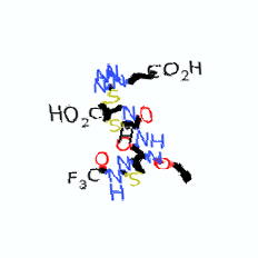 C#CCON=C(C(=O)NC1C(=O)N2CC(CSc3nnnn3C=CCC(=O)O)(C(=O)O)CS[C@H]12)c1csc(NC(=O)C(F)(F)F)n1